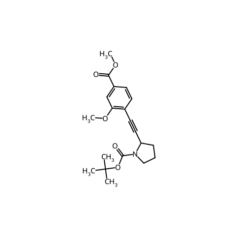 COC(=O)c1ccc(C#CC2CCCN2C(=O)OC(C)(C)C)c(OC)c1